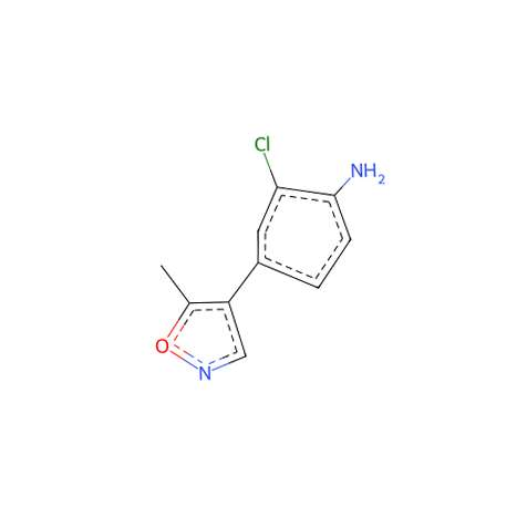 Cc1oncc1-c1ccc(N)c(Cl)c1